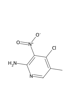 Cc1cnc(N)c([N+](=O)[O-])c1Cl